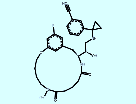 C#Cc1cccc(C2(NC[C@@H](O)[C@@H]3Cc4cc(F)cc(c4)OCCCCN(CCC)C(=O)CCCC(=O)N3)CC2)c1